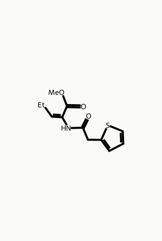 CCC=C(NC(=O)Cc1cccs1)C(=O)OC